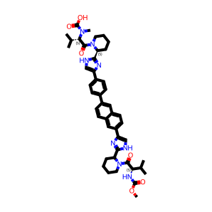 COC(=O)N[C@H](C(=O)N1CCCCC1c1nc(-c2ccc3cc(-c4ccc(-c5c[nH]c([C@@H]6CCCCN6C(=O)[C@H](C(C)C)N(C)C(=O)O)n5)cc4)ccc3c2)c[nH]1)C(C)C